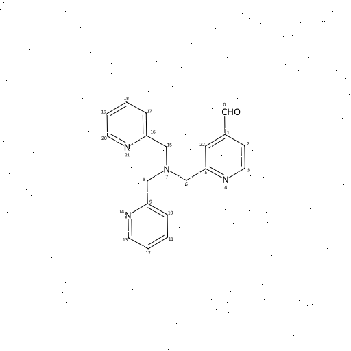 O=Cc1ccnc(CN(Cc2ccccn2)Cc2ccccn2)c1